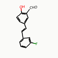 O=Cc1cc(/C=C/c2cccc(F)c2)ccc1O